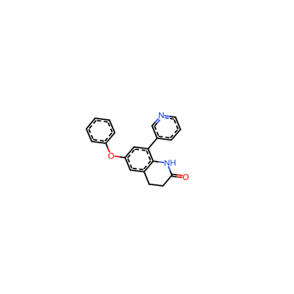 O=C1CCc2cc(Oc3ccccc3)cc(-c3cccnc3)c2N1